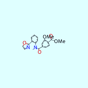 COC(=O)c1ccc(C(=O)N(C)c2ccccc2-c2ncco2)cc1OC